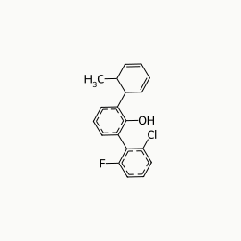 CC1C=CC=CC1c1cccc(-c2c(F)cccc2Cl)c1O